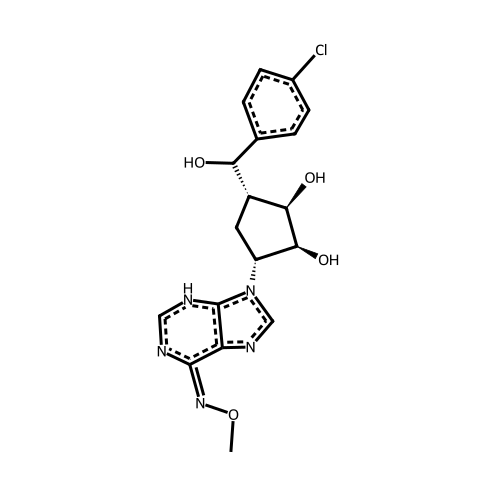 CO/N=c1/nc[nH]c2c1ncn2[C@@H]1C[C@H](C(O)c2ccc(Cl)cc2)[C@@H](O)[C@H]1O